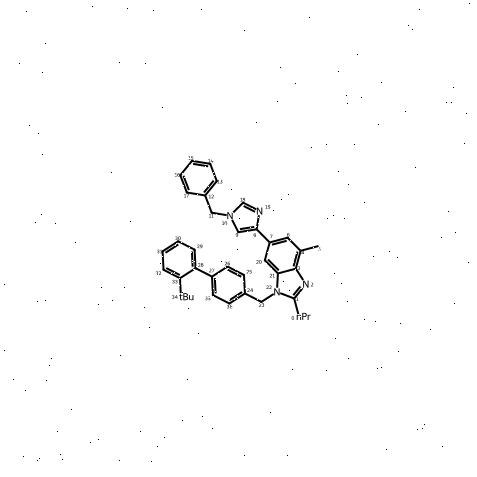 CCCc1nc2c(C)cc(-c3cn(Cc4ccccc4)cn3)cc2n1Cc1ccc(-c2ccccc2C(C)(C)C)cc1